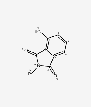 CC(C)c1cccc2c1C(=O)N(C(C)C)C2=O